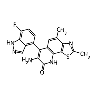 Cc1nc2c(C)cc3c(-c4ccc(F)c5[nH]ncc45)c(N)c(=O)[nH]c3c2s1